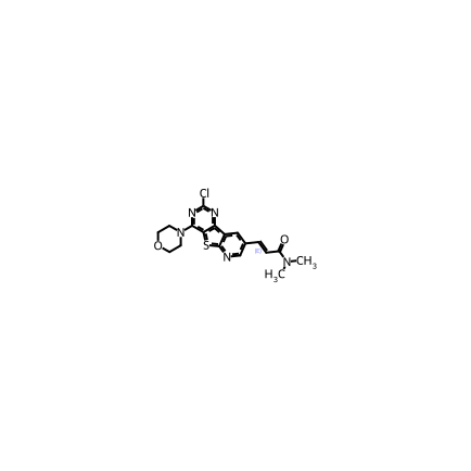 CN(C)C(=O)/C=C/c1cnc2sc3c(N4CCOCC4)nc(Cl)nc3c2c1